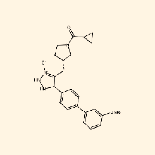 COc1cccc(-c2ccc(C3NN[N+]([O-])=C3C[C@@H]3CCN(C(=O)C4CC4)C3)cc2)c1